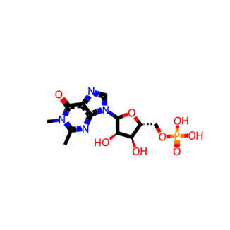 Cc1nc2c(ncn2C2O[C@H](COP(=O)(O)O)[C@@H](O)[C@H]2O)c(=O)n1C